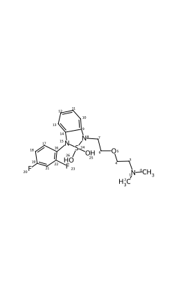 CN(C)CCOCCN1c2ccccc2N(c2ccc(F)cc2F)S1(O)O